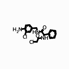 Nc1ccc(CNC(=O)C(NC(=O)CCl)c2ccccc2)cc1Cl